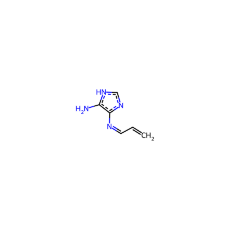 C=C/C=N\c1nc[nH]c1N